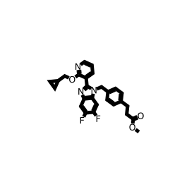 COC(=O)CCc1ccc(Cn2c(-c3cccnc3OCC3CC3)nc3cc(F)c(F)cc32)cc1